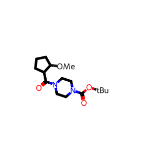 COC1CCCC1C(=O)N1CCN(C(=O)OC(C)(C)C)CC1